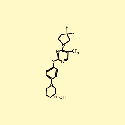 O[C@@H]1CCCN(c2ccc(Nc3ncc(C(F)(F)F)c(N4CCC(F)(F)C4)n3)cc2)C1